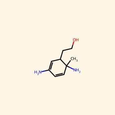 CC1(N)C=CC(N)=CC1CCO